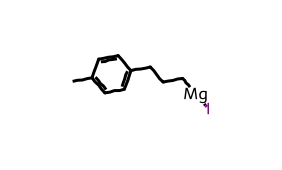 Cc1ccc(CC[CH2][Mg][I])cc1